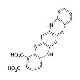 O=C(O)c1ccc2c(c1C(=O)O)N=c1cc3c(cc1N2)=Nc1ccccc1N3